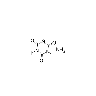 N.O=c1n(I)c(=O)n(I)c(=O)n1I